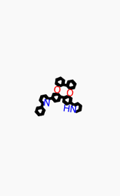 C1=CCNC(c2ccc3c(c2)Oc2ccccc2-c2ccccc2Oc2cc(-c4cccc(-c5ccccc5)n4)ccc2-3)=C1